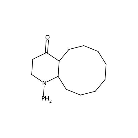 O=C1CCN(P)C2CCCCCCCCC12